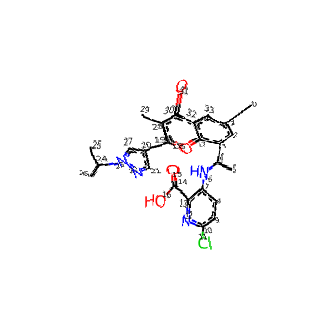 Cc1cc(C(C)Nc2ccc(Cl)nc2C(=O)O)c2oc(-c3cnn(C(C)C)c3)c(C)c(=O)c2c1